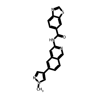 Cn1cc(-c2ccc3cnc(NC(=O)c4ccc5ncsc5c4)cc3c2)cn1